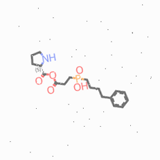 O=C(CCP(=O)(O)CCCCc1ccccc1)OC(=O)[C@@H]1CCCN1